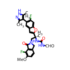 COc1ccc2c(c1F)C(=O)N(C[C@](C)(NC(=O)NC=O)c1cc3cc(-c4c(C)n[nH]c4C)c(F)cc3o1)C2